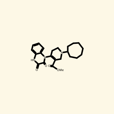 COC(=O)C1=C(n2c(=O)c(=O)[nH]c3ccccc32)CCN(C2CCCCCCC2)C1